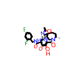 CC1=NCC2(CC[C@H](C)N3C[C@H]2n2cc(C(=O)NCc4ccc(F)cc4F)c(=O)c(O)c2C3=O)O1